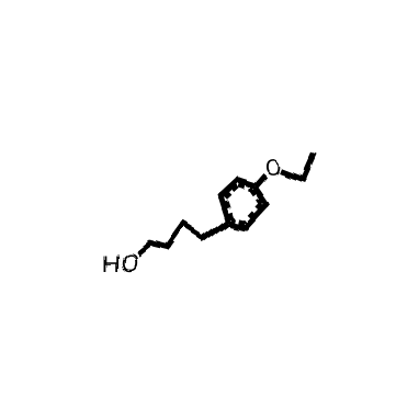 CCOc1ccc(CCCCO)cc1